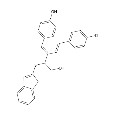 OCC(SC1=Cc2ccccc2C1)C(C=Cc1ccc(Cl)cc1)=Cc1ccc(O)cc1